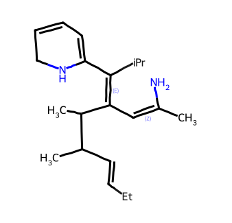 CCC=CC(C)C(C)C(/C=C(/C)N)=C(\C1=CC=CCN1)C(C)C